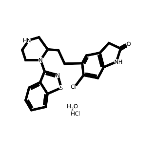 Cl.O.O=C1Cc2cc(CCC3CNCCN3c3nsc4ccccc34)c(Cl)cc2N1